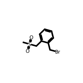 CS(=O)(=O)Cc1ccccc1CBr